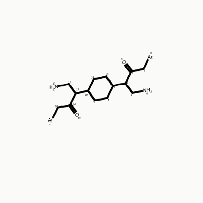 CC(=O)CC(=O)C(CN)C1CCC(C(CN)C(=O)CC(C)=O)CC1